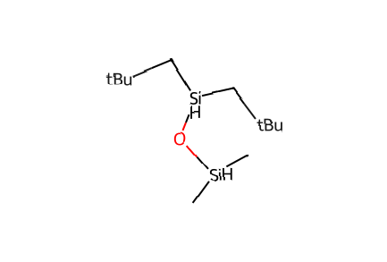 C[SiH](C)O[SiH](CC(C)(C)C)CC(C)(C)C